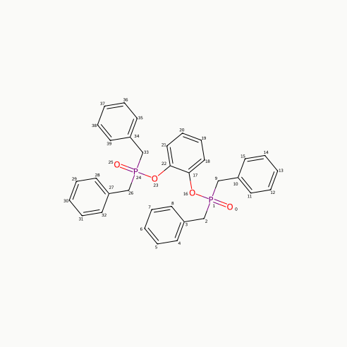 O=P(Cc1ccccc1)(Cc1ccccc1)Oc1ccccc1OP(=O)(Cc1ccccc1)Cc1ccccc1